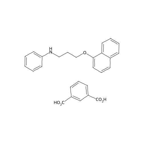 O=C(O)c1cccc(C(=O)O)c1.c1ccc(NCCCOc2cccc3ccccc23)cc1